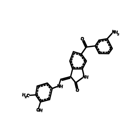 Cc1ccc(NC=C2C(=O)Nc3cc(C(=O)c4cccc(N)c4)ccc32)cc1O